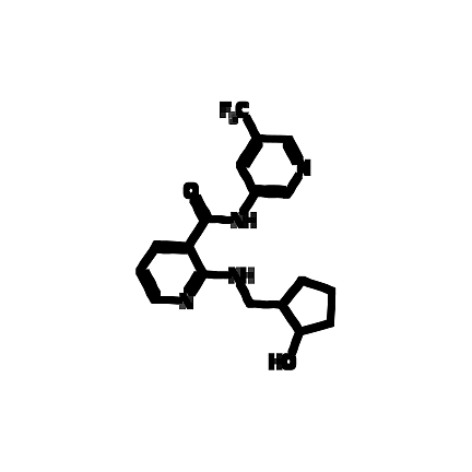 O=C(Nc1cncc(C(F)(F)F)c1)c1cccnc1NCC1CCCC1O